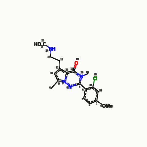 COc1ccc(-c2nn3c(C)cc(CCNC(=O)O)c3c(=O)n2C)c(Cl)c1